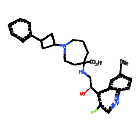 COc1ccc2ncc(F)c([C@H](O)CNC3(C(=O)O)CCCN(C4CC(c5ccccc5)C4)CC3)c2c1